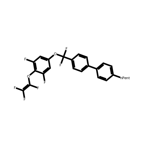 CCCCCc1ccc(-c2ccc(C(F)(F)Oc3cc(F)c(OC(F)=C(F)F)c(F)c3)cc2)cc1